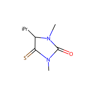 CC(C)C1C(=S)N(C)C(=O)N1C